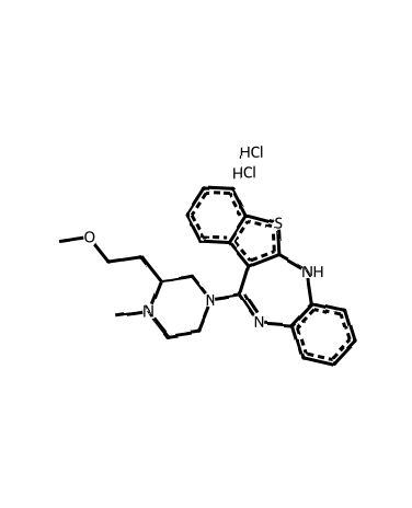 COCCC1CN(C2=Nc3ccccc3Nc3sc4ccccc4c32)CCN1C.Cl.Cl